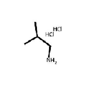 CC(C)CN.Cl.Cl